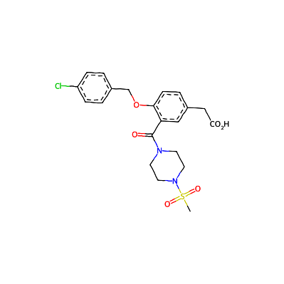 CS(=O)(=O)N1CCN(C(=O)c2cc(CC(=O)O)ccc2OCc2ccc(Cl)cc2)CC1